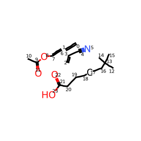 C=C.C=CC#N.C=COC(C)=O.CC(C)(C)CCCCCC(=O)O